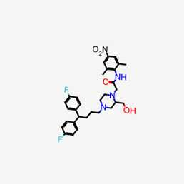 Cc1cc([N+](=O)[O-])cc(C)c1NC(=O)CN1CCN(CCCC(c2ccc(F)cc2)c2ccc(F)cc2)CC1CO